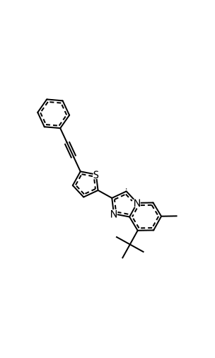 Cc1cc(C(C)(C)C)c2nc(-c3ccc(C#Cc4ccccc4)s3)[c]n2c1